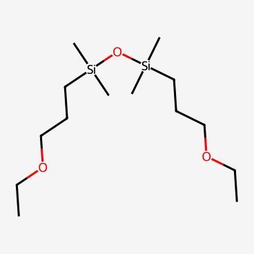 CCOCCC[Si](C)(C)O[Si](C)(C)CCCOCC